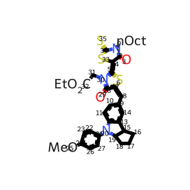 CCCCCCCCN1C(=O)/C(=c2\s/c(=C/c3ccc4c(c3)C3CCCC3N4c3ccc(OC)cc3)c(=O)n2CC(=O)OCC)SC1=S